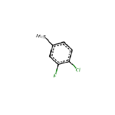 CSc1ccc(Cl)c(F)c1